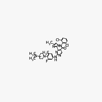 Cc1cn2c(n1)c1nc(Nc3cc(C)c(N4CCC(N(C)C)CC4)c(F)c3)ncc1c(=O)n2-c1c(Cl)cccc1Cl